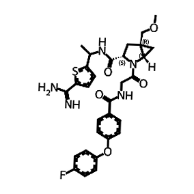 COC[C@@]12C[C@@H]1N(C(=O)CNC(=O)c1ccc(Oc3ccc(F)cc3)cc1)[C@H](C(=O)NC(C)c1ccc(C(=N)N)s1)C2